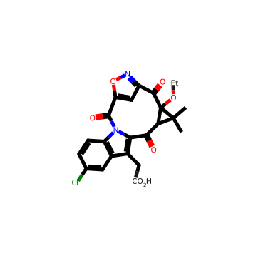 CCOC12C(=O)c3cc(on3)C(=O)n3c(c(CC(=O)O)c4cc(Cl)ccc43)C(=O)C1C2(C)C